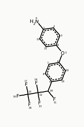 Nc1ccc(Oc2ccc(C(F)C(F)(F)C(F)(F)F)cc2)cc1